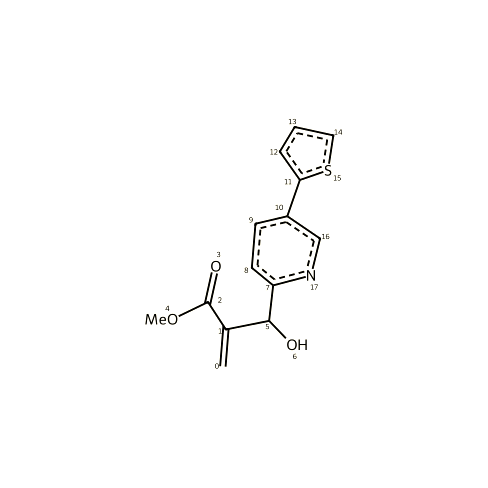 C=C(C(=O)OC)C(O)c1ccc(-c2cccs2)cn1